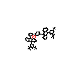 CC(C)(C)c1cc(-c2c3ccccc3c(-c3ccc4c(c3)oc3c(-c5c6ccccc6c(-c6cc(C(C)(C)C)cc(C(C)(C)C)c6)c6ccccc56)cccc34)c3ccccc23)cc(C(C)(C)C)c1